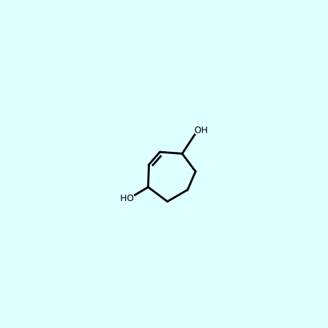 OC1C=CC(O)CCC1